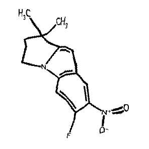 CC1(C)CCn2c1cc1cc([N+](=O)[O-])c(F)cc12